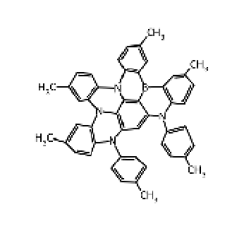 Cc1ccc(N2c3ccc(C)cc3B3c4cc(C)ccc4N4c5ccc(C)cc5N5c6cc(C)ccc6N(c6ccc(C)cc6)c6cc2c3c4c65)cc1